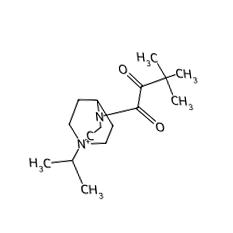 CC(C)[N+]12CCC(CC1)N(C(=O)C(=O)C(C)(C)C)CC2